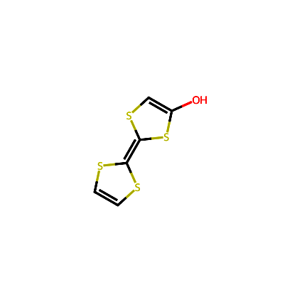 OC1=CSC(=C2SC=CS2)S1